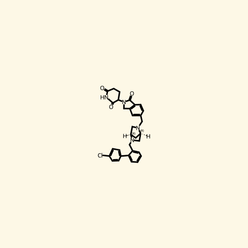 O=C1CCC(N2Cc3cc(CN4C[C@H]5C[C@@H]4CN5Cc4ccccc4-c4ccc(Cl)cc4)ccc3C2=O)C(=O)N1